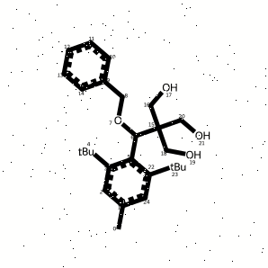 Cc1cc(C(C)(C)C)c(C(OCc2ccccc2)C(CO)(CO)CO)c(C(C)(C)C)c1